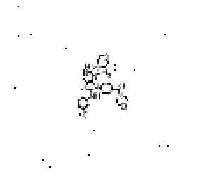 CC1(Nc2ncc3nc(Nc4cccc(Cl)c4)n(C4CCC(C(=O)N5CCOCC5)CC4)c3n2)CCOCC1